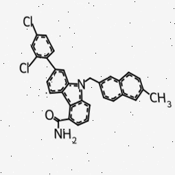 Cc1ccc2cc(Cn3c4cc(-c5ccc(Cl)cc5Cl)c[c]c4c4c(C(N)=O)cccc43)ccc2c1